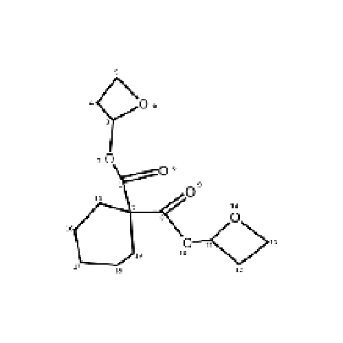 O=C(OC1CCO1)C1(C(=O)OC2CCO2)CCCCC1